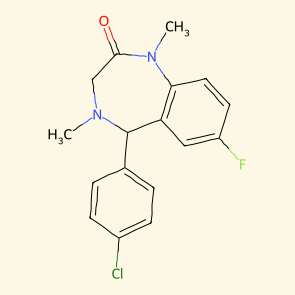 CN1C(=O)CN(C)C(c2ccc(Cl)cc2)c2cc(F)ccc21